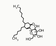 CCCCCCCC1CC(=O)C([C@@H]2O[C@H](CO)[C@@H](O)[C@H](O)[C@@H]2O)=CC1CCCCCC